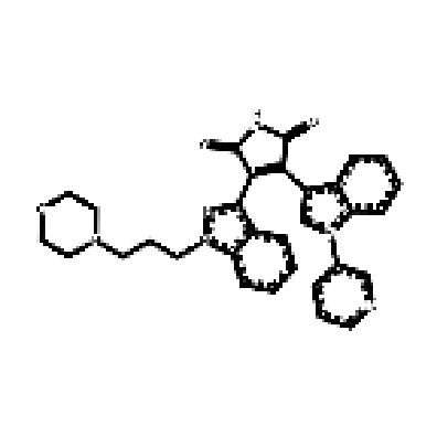 O=C1NC(=O)C(c2nn(CCCN3CCOCC3)c3ccccc23)=C1c1cn(-c2cccnc2)c2ccccc12